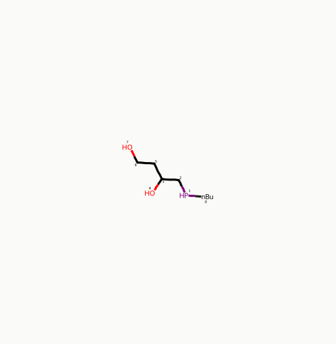 CCCCPCC(O)CCO